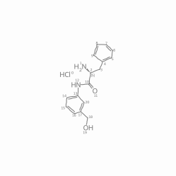 Cl.N[C@@H](Cc1ccccc1)C(=O)Nc1cccc(CO)c1